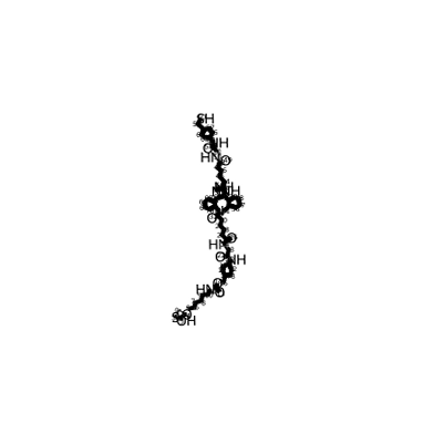 CP(O)(=S)OCCCCCCNC(=O)OCc1ccc(NC(=O)CNC(=O)CCCCC(=O)N2Cc3ccccc3/C(NCCCCCC(=O)NCC(=O)Nc3ccc(CS)cc3)=C(/N=N)c3ccccc32)cc1